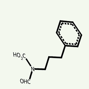 O=CN(CCCc1ccccc1)C(=O)O